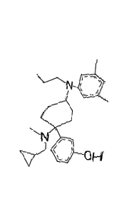 CCCN(c1cc(C)cc(C)c1)C1CCC(c2cccc(O)c2)(N(C)CC2CC2)CC1